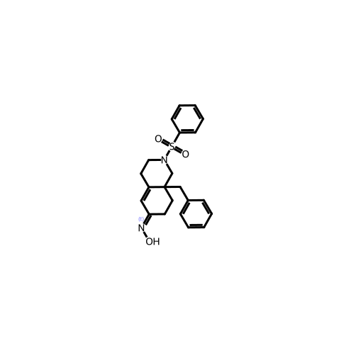 O=S(=O)(c1ccccc1)N1CCC2=C/C(=N/O)CCC2(Cc2ccccc2)C1